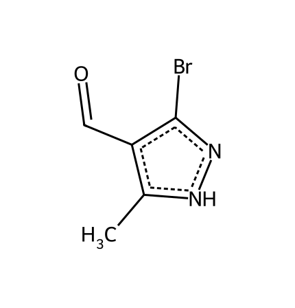 Cc1[nH]nc(Br)c1C=O